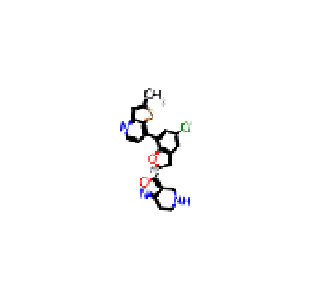 Cc1cc2nccc(-c3cc(Cl)cc4c3O[C@@H](c3onc5c3CNCC5)C4)c2s1